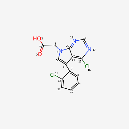 O=C(O)Cn1cc(-c2ccccc2Cl)c2c(Cl)ncnc21